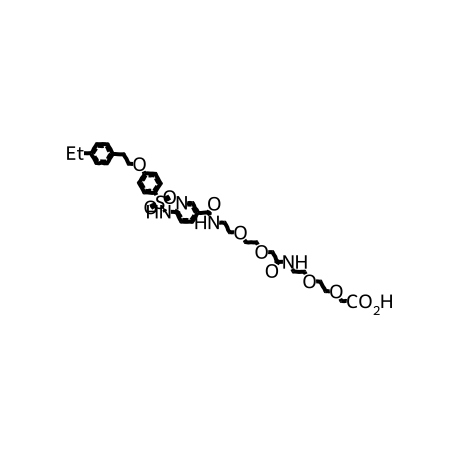 CCc1ccc(CCOc2ccc(S(=O)(=O)Nc3ccc(C(=O)NCCOCCOCC(=O)NCCOCCOCC(=O)O)cn3)cc2)cc1